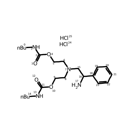 CCCCNC(=O)OCCN(CCOC(=O)NCCCC)CC(N)c1ccccc1.Cl.Cl